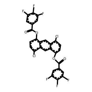 O=C(Oc1ccc(Cl)c2cc3c(OC(=O)c4cc(F)c(F)c(F)c4)ccc(Cl)c3cc12)c1cc(F)c(F)c(F)c1